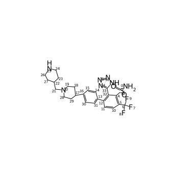 NS(=O)(=O)c1c(C(F)(F)F)ccc(-c2ccc(C3CCN(CC4CCNCC4)CC3)cc2)c1-c1nnn[nH]1